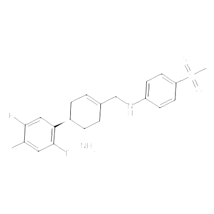 CS(=O)(=O)c1ccc(NCC2=CC[C@H](c3cc(F)c(F)cc3F)[C@@H](N)C2)cc1